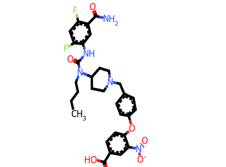 CCCCN(C(=O)Nc1cc(C(N)=O)c(F)cc1F)C1CCN(Cc2ccc(Oc3ccc(C(=O)O)cc3[N+](=O)[O-])cc2)CC1